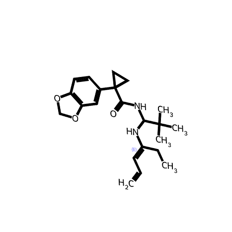 C=C/C=C(\CC)NC(NC(=O)C1(c2ccc3c(c2)OCO3)CC1)C(C)(C)C